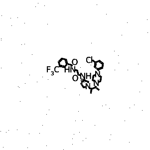 CC(C(C)N1CC[C@@H](NC(=O)CNC(=O)c2cccc(C(F)(F)F)c2)C1)N1CCN(c2cccc(Cl)c2)CC1